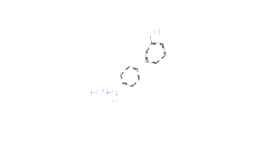 Cc1cccc(-c2ccc(NN)cc2)c1